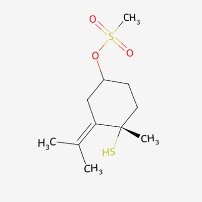 CC(C)=C1CC(OS(C)(=O)=O)CC[C@]1(C)S